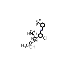 CNCc1nn(COC(C)O)nc1-c1cc(Cl)cc(/C=C/c2cccc(C(F)(F)F)c2)c1